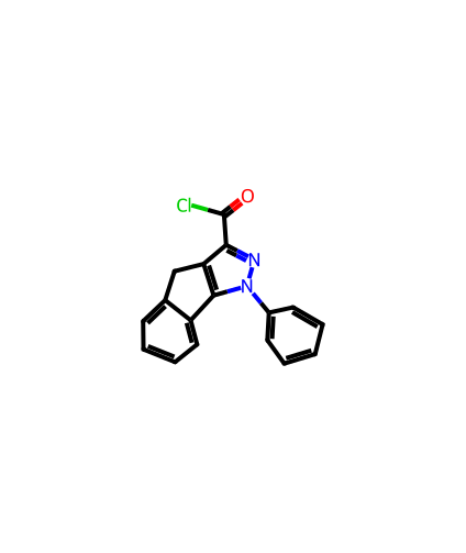 O=C(Cl)c1nn(-c2ccccc2)c2c1Cc1ccccc1-2